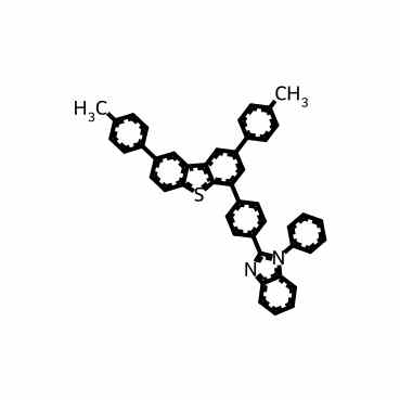 Cc1ccc(-c2ccc3sc4c(-c5ccc(-c6nc7ccccc7n6-c6ccccc6)cc5)cc(-c5ccc(C)cc5)cc4c3c2)cc1